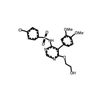 COc1ccc(-c2c(NS(=O)(=O)c3ccc(Cl)cc3)ncnc2OCCO)cc1OC